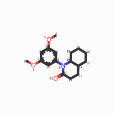 COc1cc(OC)cc(N2C(=O)CCC3CCCCC32)c1